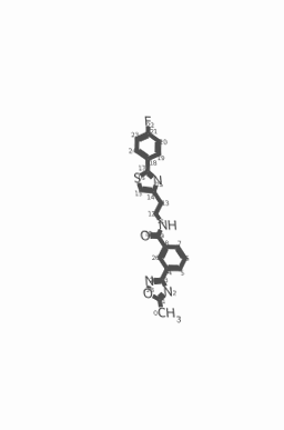 Cc1nc(-c2cccc(C(=O)NCCc3csc(-c4ccc(F)cc4)n3)c2)no1